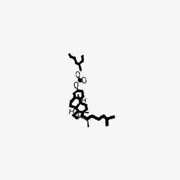 CCCCC(CC)COC(=O)O[C@H]1CC[C@@]2(C)C(=CC[C@H]3[C@@H]4CC[C@H]([C@H](C)CCCC(C)C)[C@@]4(C)CC[C@@H]32)C1